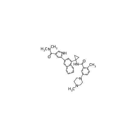 Cc1ccc(N2CCN(C)CC2)cc1C(=O)NC1(c2cc(-c3cc(C(=O)N(C)C)c[nH]3)cc3ccccc23)CC1